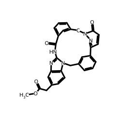 COC(=O)Cc1ccc2c(c1)nc1n2Cc2cccc(c2)-c2ccc(=O)n(n2)Cc2cccc(c2)C(=O)N1